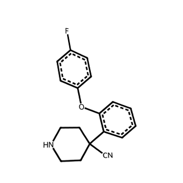 N#CC1(c2ccccc2Oc2ccc(F)cc2)CCNCC1